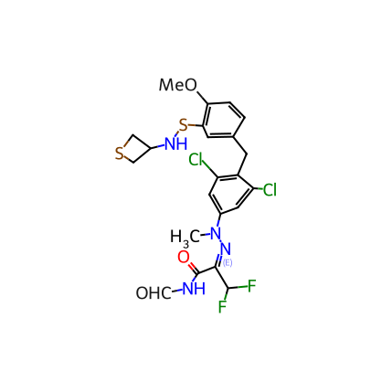 COc1ccc(Cc2c(Cl)cc(N(C)/N=C(\C(=O)NC=O)C(F)F)cc2Cl)cc1SNC1CSC1